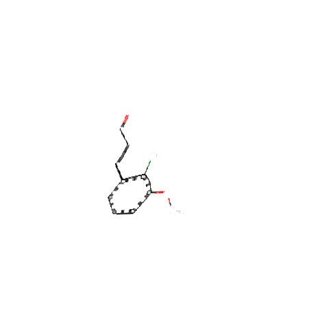 COc1cccc(/C=C/C=O)c1Cl